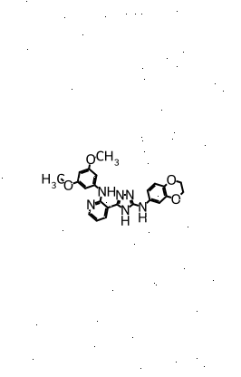 COc1cc(Nc2ncccc2-c2nnc(Nc3ccc4c(c3)OCCO4)[nH]2)cc(OC)c1